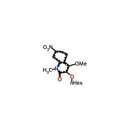 CCCCCCOc1c(OC)c2ccc([N+](=O)[O-])cc2n(C)c1=O